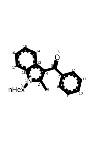 CCCCCCn1c(C)c(C(=O)c2ccccc2)c2ccccc21